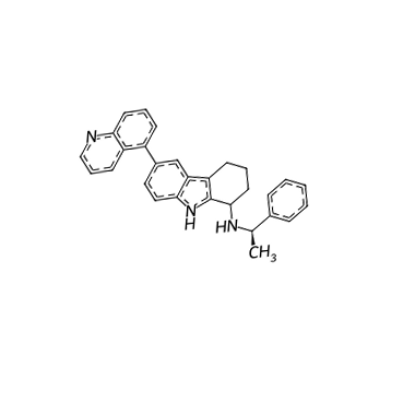 C[C@@H](NC1CCCc2c1[nH]c1ccc(-c3cccc4ncccc34)cc21)c1ccccc1